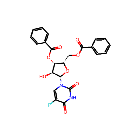 O=C(OC[C@@H]1O[C@H](n2cc(F)c(=O)[nH]c2=O)[C@@H](O)[C@@H]1OC(=O)c1ccccc1)c1ccccc1